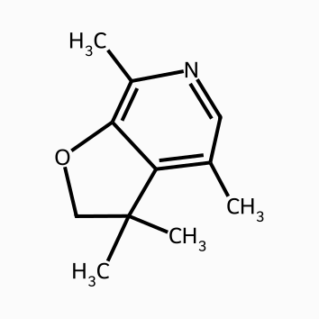 Cc1cnc(C)c2c1C(C)(C)CO2